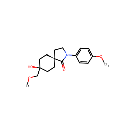 CCOC[C@]1(O)CC[C@]2(CCN(c3ccc(OC(F)(F)F)cc3)C2=O)CC1